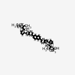 COC(=O)NC(C(=O)N1CCC[C@@H]1c1nc2nc(-c3ccc4cc(-c5cnc6[nH]c([C@@H]7CCCN7C(=O)C(NC(=O)O)C(C)C)nc6n5)ccc4c3)cnc2[nH]1)C(C)C